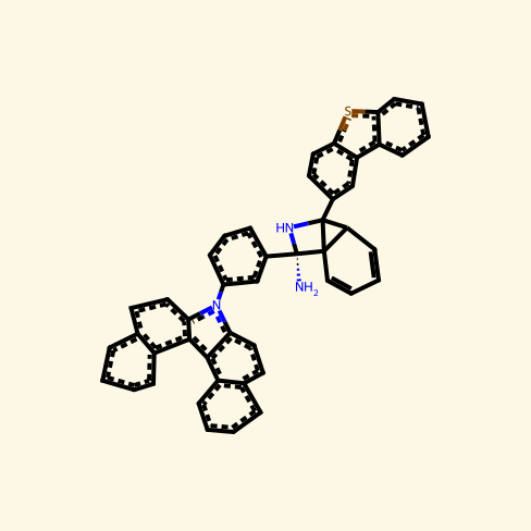 N[C@]1(c2cccc(-n3c4ccc5ccccc5c4c4c5ccccc5ccc43)c2)NC2(c3ccc4sc5ccccc5c4c3)C3C=CC=CC321